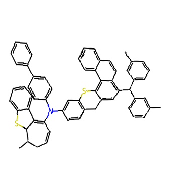 Cc1cccc(C(c2cccc(C)c2)c2cc3c(c4c2ccc2ccccc24)Sc2cc(N(C4=C5c6ccccc6SC5C(C)CC=C4)c4ccc(-c5ccccc5)cc4)ccc2C3)c1